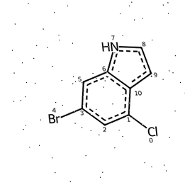 Clc1cc(Br)cc2[nH]c[c]c12